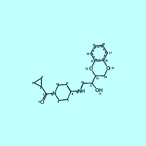 O=C(C1CC1)N1CCC(NCC(O)C2COc3ccccc3O2)CC1